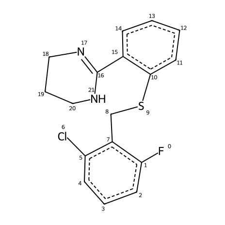 Fc1cccc(Cl)c1CSc1ccccc1C1=NCCCN1